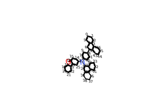 c1ccc2c(c1)cc(-c1ccc(N(c3ccc4oc5ccccc5c4c3)c3cc4c(c5ccccc35)CCCC4)cc1)c1ccccc12